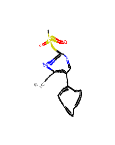 CS(=O)(=O)c1ncc(-c2ccccc2)c(C(F)(F)F)n1